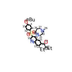 CCCCOc1ccc(S(=O)(=O)c2cnc3ccc(C(=O)C(CC)CC)cc3c2N2CCCN(C)CC2)cc1